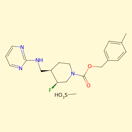 CS(=O)(=O)O.Cc1ccc(COC(=O)N2CC[C@H](CNc3ncccn3)[C@H](F)C2)cc1